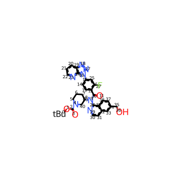 CC(C)(C)OC(=O)N1CCC[C@@H](N(C(=O)c2ccc(-n3nnc4cccnc43)cc2F)c2nccc3cc(CO)ccc23)C1